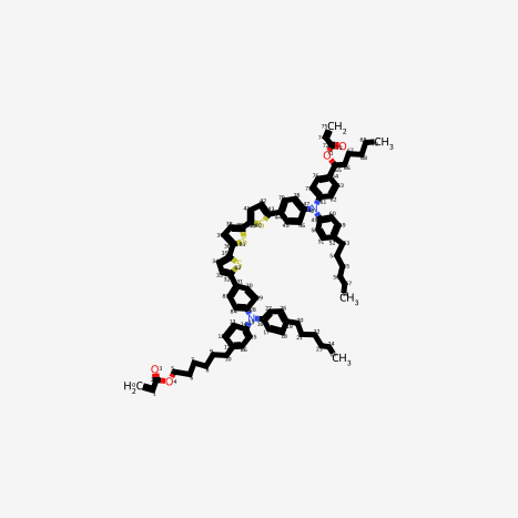 C=CC(=O)OCCCCCCc1ccc(N(c2ccc(CCCCCC)cc2)c2ccc(-c3ccc(-c4ccc(-c5ccc(-c6ccc(N(c7ccc(CCCCCC)cc7)c7ccc(C(CCCCC)OC(=O)C=C)cc7)cc6)s5)s4)s3)cc2)cc1